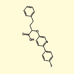 O=C(O)C(CCc1ccccc1)Oc1ccc(-c2ccc(F)cc2)nc1